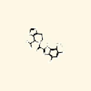 Cc1c(F)cc(F)c2nc(C(=O)N3CCc4ncsc4C3C(F)F)[nH]c12